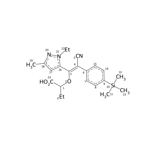 CCC(OC(=C(C#N)c1ccc([Si](C)(C)C)cc1)c1cc(C)nn1CC)C(=O)O